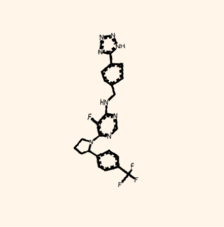 Fc1c(NCc2ccc(-c3nnn[nH]3)cc2)ncnc1N1CCCC1c1ccc(C(F)(F)F)cc1